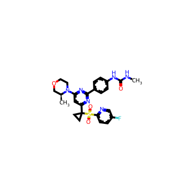 CNC(=O)Nc1ccc(-c2nc(N3CCOC[C@@H]3C)cc(C3(S(=O)(=O)c4ccc(F)cn4)CC3)n2)cc1